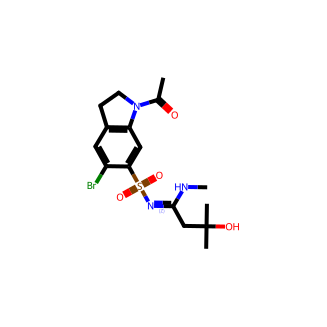 CN/C(CC(C)(C)O)=N\S(=O)(=O)c1cc2c(cc1Br)CCN2C(C)=O